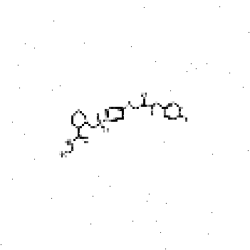 N#CCNC(=O)C1CCCCC1CS(=O)(=O)c1ccc(SCC(=O)NCc2ccc(Cl)cc2)cc1